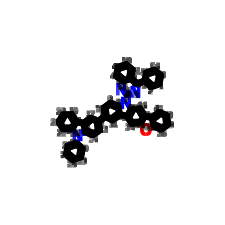 c1ccc(-c2nc(-n3c4ccc(-c5ccc6c(c5)c5ccccc5n6-c5ccccc5)cc4c4cc5oc6ccccc6c5cc43)nc3ccccc23)cc1